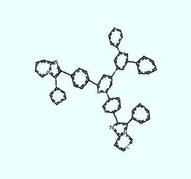 c1ccc(-c2cc(-c3ccccc3)cc(-c3cc(-c4ccc(-c5nc6ccccn6c5-c5ccccc5)cc4)nc(-c4ccc(-c5nc6ccccn6c5-c5ccccc5)cc4)c3)c2)cc1